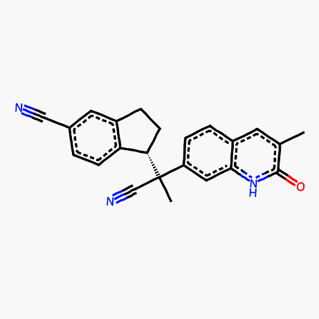 Cc1cc2ccc(C(C)(C#N)[C@H]3CCc4cc(C#N)ccc43)cc2[nH]c1=O